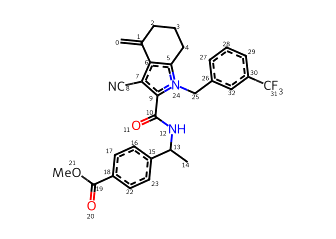 C=C1CCCc2c1c(C#N)c(C(=O)NC(C)c1ccc(C(=O)OC)cc1)n2Cc1cccc(C(F)(F)F)c1